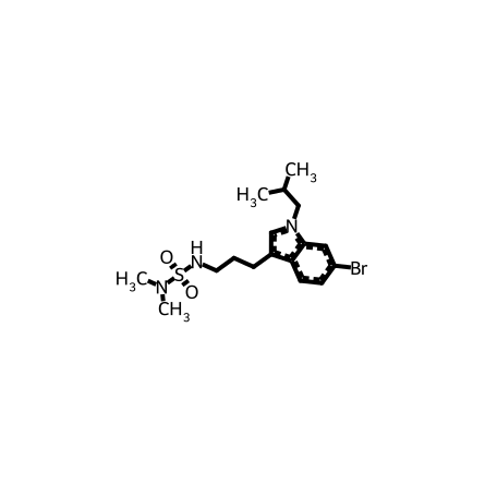 CC(C)Cn1cc(CCCNS(=O)(=O)N(C)C)c2ccc(Br)cc21